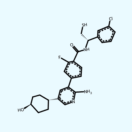 Nc1ncc([C@H]2CC[C@H](O)CC2)cc1-c1ccc(C(=O)N[C@H](CS)c2cccc(Cl)c2)c(F)c1